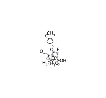 COc1ccc(CO[C@H](/C(F)=C\[C@@H](C)[C@H](C)O)[C@H]2OC(C)(C)O[C@H]2CC=O)cc1